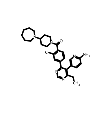 CCc1ncnc(-c2ccc(C(=O)N3CCC(N4CCCCCC4)CC3)c(Cl)c2)c1-c1ccc(N)nc1